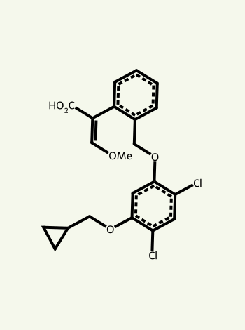 CO/C=C(/C(=O)O)c1ccccc1COc1cc(OCC2CC2)c(Cl)cc1Cl